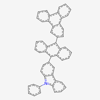 c1ccc(-n2c3ccccc3c3cc(-c4c5ccccc5c(-c5ccc6c7ccccc7c7ccccc7c6c5)c5ccccc45)ccc32)cc1